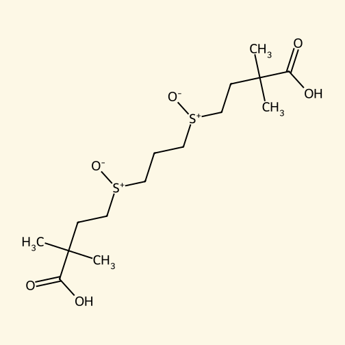 CC(C)(CC[S+]([O-])CCC[S+]([O-])CCC(C)(C)C(=O)O)C(=O)O